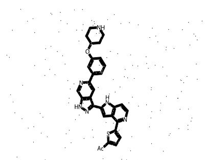 CC(=O)c1ccc(-c2nccc3[nH]c(-c4n[nH]c5cnc(-c6cccc(OC7CCNCC7)c6)cc45)cc23)s1